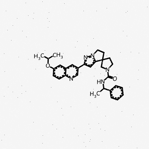 CC(C)Oc1ccc2ncc(-c3cc4n(n3)CCC43CCN(C(=O)NC(C)c4ccccc4)C3)cc2c1